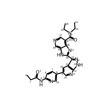 CCC(=O)Nc1ccc(-c2cnc3[nH]nc(-c4nc5c(C(=O)N(CC)CC)cncc5[nH]4)c3c2)cn1